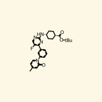 Cc1ccn(-c2cccc(-c3nc(N[C@H]4CC[C@H](C(=O)OC(C)(C)C)CC4)ncc3F)c2)c(=O)c1